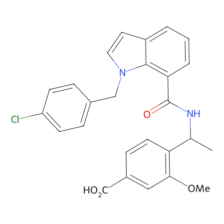 COc1cc(C(=O)O)ccc1C(C)NC(=O)c1cccc2ccn(Cc3ccc(Cl)cc3)c12